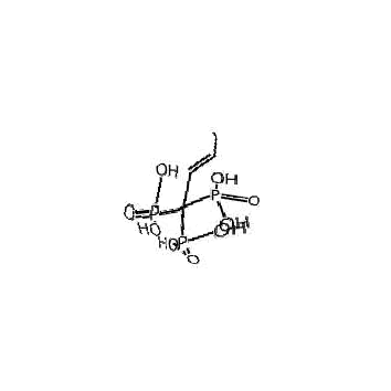 CC=CC(P(=O)(O)O)(P(=O)(O)O)P(=O)(O)O